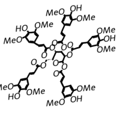 COc1cc(C=CC(=O)OC[C@H]2OC(OC(=O)C=Cc3cc(OC)c(O)c(OC)c3)[C@H](OC(=O)C=Cc3cc(OC)c(O)c(OC)c3)[C@@H](OC(=O)C=Cc3cc(OC)c(O)c(OC)c3)[C@@H]2OC(=O)C=Cc2cc(OC)c(O)c(OC)c2)cc(OC)c1O